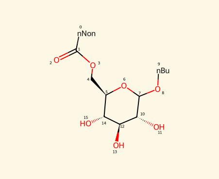 CCCCCCCCCC(=O)OC[C@H]1OC(OCCCC)[C@H](O)[C@@H](O)[C@@H]1O